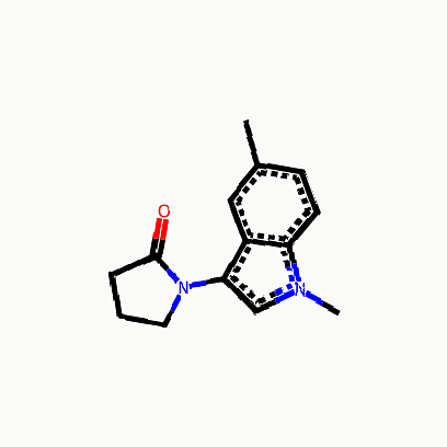 Cc1ccc2c(c1)c(N1CCCC1=O)cn2C